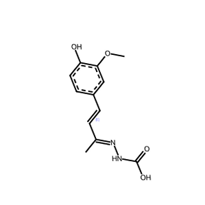 COc1cc(/C=C/C(C)=NNC(=O)O)ccc1O